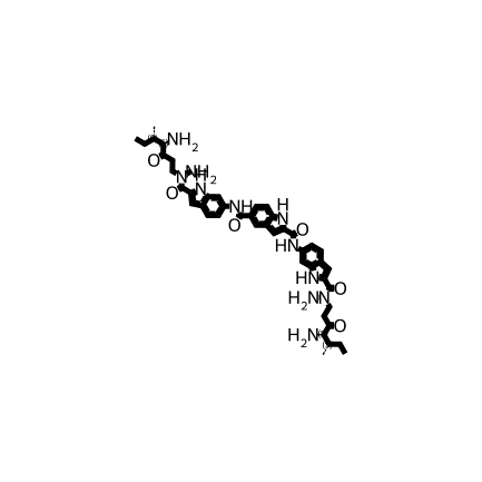 CC[C@H](C)[C@H](N)C(=O)CCN(N)C(=O)c1cc2ccc(NC(=O)c3ccc4[nH]c(C(=O)Nc5ccc6cc(C(=O)N(N)CCC(=O)[C@@H](N)[C@@H](C)CC)[nH]c6c5)cc4c3)cc2[nH]1